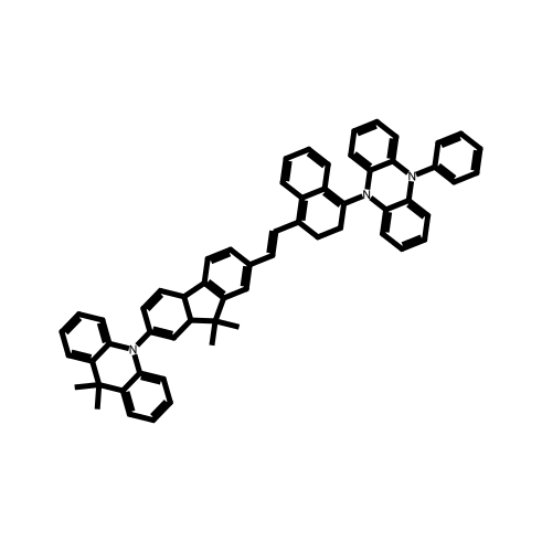 CC1(C)c2ccccc2N(C2=CC3C(C=C2)c2ccc(/C=C/C4=c5ccccc5=C(N5c6ccccc6N(c6ccccc6)c6ccccc65)CC4)cc2C3(C)C)c2ccccc21